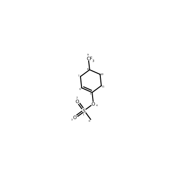 CS(=O)(=O)OC1=CCC(C(F)(F)F)CC1